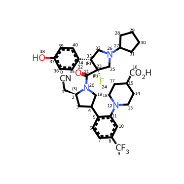 N#CC[C@@H]1CC(c2ccc(C(F)(F)F)cc2N2CCC(C(=O)O)CC2)CN1C(=O)[C@]1(F)CN(C2CCCC2)C[C@H]1c1ccc(O)cc1